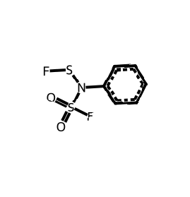 O=S(=O)(F)N(SF)c1ccccc1